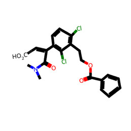 CN(C)C(=O)C(=CC(=O)O)c1ccc(Cl)c(CCOC(=O)c2ccccc2)c1Cl